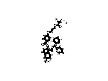 C=C(F)C(=O)OCCCOc1ccc(C(=O)Oc2ccc3cc(CCC)ccc3c2/C=N/N(c2ccccc2)c2ccccc2)cc1